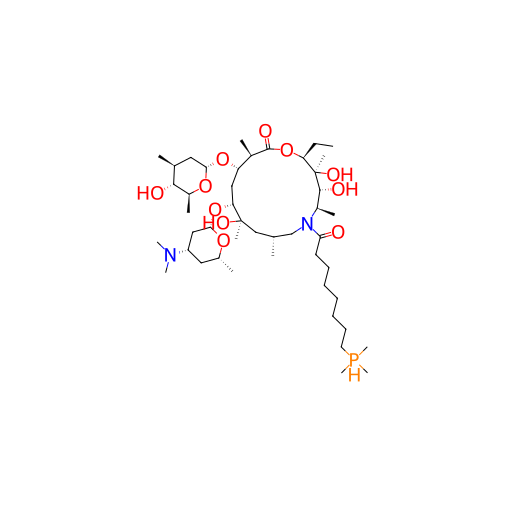 CC[C@@H]1OC(=O)[C@H](C)[C@@H](O[C@H]2C[C@H](C)[C@@H](O)[C@H](C)O2)C[C@@H](O[C@H]2C[C@@H](N(C)C)C[C@@H](C)O2)[C@](C)(O)C[C@@H](C)CN(C(=O)CCCCCCC[PH](C)(C)C)[C@H](C)[C@@H](O)[C@]1(C)O